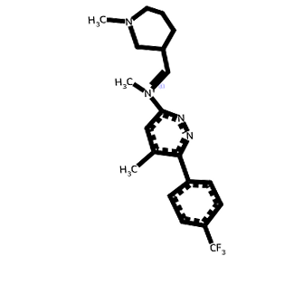 Cc1cc(/[N+](C)=C/C2CCCN(C)C2)nnc1-c1ccc(C(F)(F)F)cc1